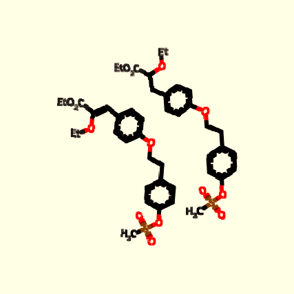 CCOC(=O)/C(=C/c1ccc(OCCc2ccc(OS(C)(=O)=O)cc2)cc1)OCC.CCOC(=O)C(Cc1ccc(OCCc2ccc(OS(C)(=O)=O)cc2)cc1)OCC